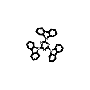 c1ccc2c(c1)-c1ccccc1[SiH]2c1nc(-n2c3ccccc3c3ccccc32)nc(-n2c3ccccc3c3ccccc32)n1